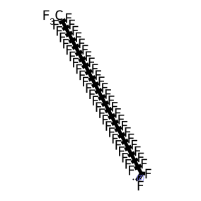 F/[C]=C(\F)C(F)(F)C(F)(F)C(F)(F)C(F)(F)C(F)(F)C(F)(F)C(F)(F)C(F)(F)C(F)(F)C(F)(F)C(F)(F)C(F)(F)C(F)(F)C(F)(F)C(F)(F)C(F)(F)C(F)(F)C(F)(F)C(F)(F)C(F)(F)C(F)(F)C(F)(F)C(F)(F)C(F)(F)C(F)(F)F